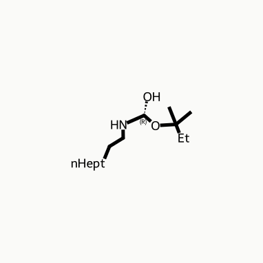 CCCCCCCCCN[C@H](O)OC(C)(C)CC